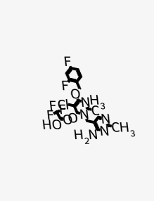 Cc1ncc(Cn2c(C)nc(OCc3ccc(F)cc3F)c(Cl)c2=O)c(N)n1.O=C(O)C(F)(F)F